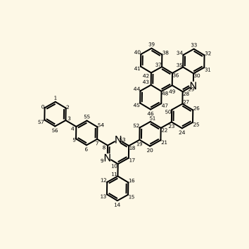 c1ccc(-c2ccc(-c3nc(-c4ccccc4)cc(-c4ccc(-c5cccc(-c6nc7ccccc7c7c8ccccc8c8ccccc8c67)c5)cc4)n3)cc2)cc1